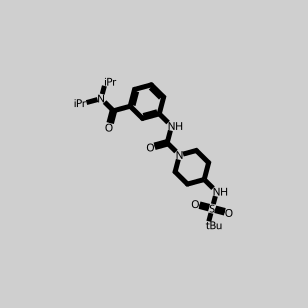 CC(C)N(C(=O)c1cccc(NC(=O)N2CCC(NS(=O)(=O)C(C)(C)C)CC2)c1)C(C)C